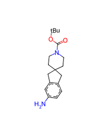 CC(C)(C)OC(=O)N1CCC2(CC1)Cc1ccc(N)cc1C2